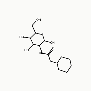 O=C(CC1CCCCC1)NC1C(O)SC(CO)C(O)C1O